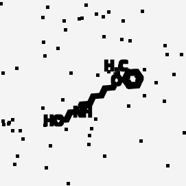 Cc1ccccc1OCCCCCCNCCO